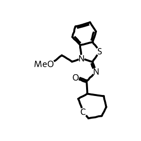 COCCn1c(=NC(=O)C2CCCCCC2)sc2ccccc21